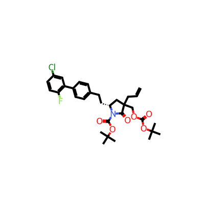 C=CCC1(COC(=O)OC(C)(C)C)C[C@@H](CCc2ccc(-c3cc(Cl)ccc3F)cc2)N(C(=O)OC(C)(C)C)C1=O